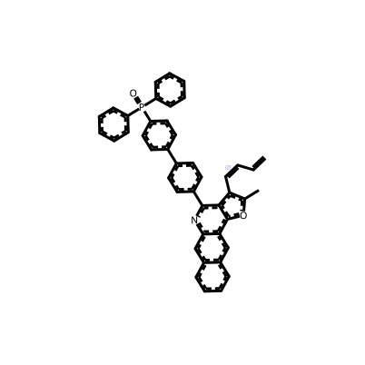 C=C/C=C\c1c(C)oc2c1c(-c1ccc(-c3ccc(P(=O)(c4ccccc4)c4ccccc4)cc3)cc1)nc1cc3ccccc3cc12